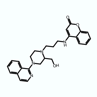 O=c1cc(NCCCN2CCN(c3nccc4ccccc34)CC2CO)c2ccccc2o1